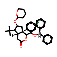 CC(C)(C)[C@@H]1[C@H]2CC(=O)OC(CO[SiH](c3ccccc3)c3ccccc3)[C@@]2(c2ccc(F)cc2)C[C@H]1OC1CCCCO1